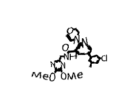 COc1ncc(CNC(=O)c2cc(-c3cc(C)cc(Cl)c3)cnc2N2CCOCC2)nc1OC